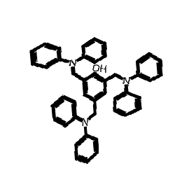 Oc1c(CN(c2ccccc2)c2ccccc2)cc(CN(c2ccccc2)c2ccccc2)cc1CN(c1ccccc1)c1ccccc1